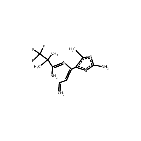 C=C/C=C(\N=C(/N)C(C)(C)C(F)(F)F)c1sc(N)nc1C